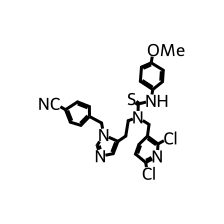 COc1ccc(NC(=S)N(CCc2cncn2Cc2ccc(C#N)cc2)Cc2ccc(Cl)nc2Cl)cc1